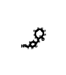 N=Cc1ccc(/C=C2\CC/C=C\C=C/CC2=O)cc1